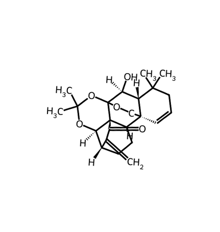 C=C1C(=O)[C@@]23[C@@H]4OC(C)(C)OC25OC[C@]2(C=CCC(C)(C)[C@H]2[C@@H]5O)[C@@H]3CC[C@@H]14